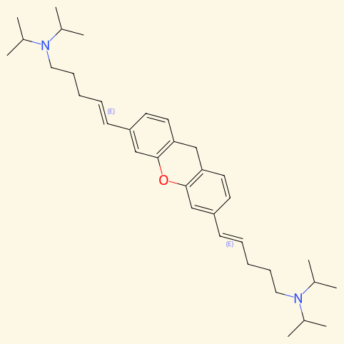 CC(C)N(CCC/C=C/c1ccc2c(c1)Oc1cc(/C=C/CCCN(C(C)C)C(C)C)ccc1C2)C(C)C